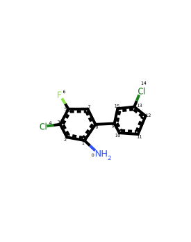 Nc1cc(Cl)c(F)cc1-c1cccc(Cl)c1